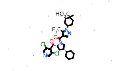 CC1(C(=O)O)CCC(n2ncc(C(=O)N3C[C@H](C4CCCCC4)C[C@@H]3C(=O)c3c(Cl)cncc3Cl)c2C(F)(F)F)CC1